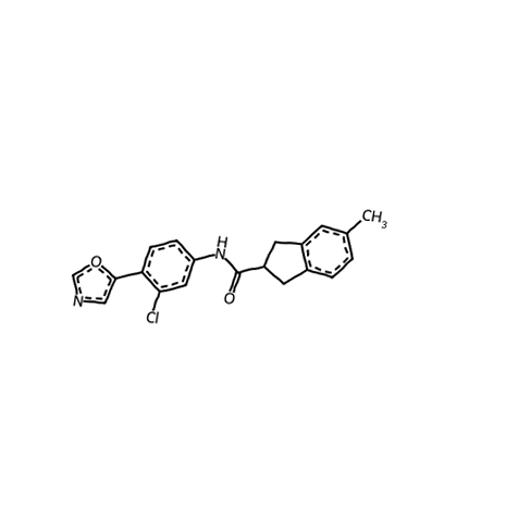 Cc1ccc2c(c1)CC(C(=O)Nc1ccc(-c3cnco3)c(Cl)c1)C2